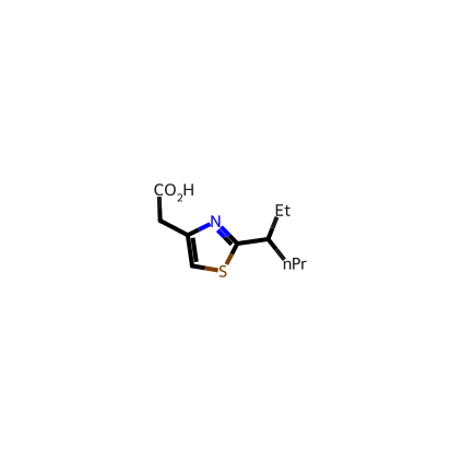 CCCC(CC)c1nc(CC(=O)O)cs1